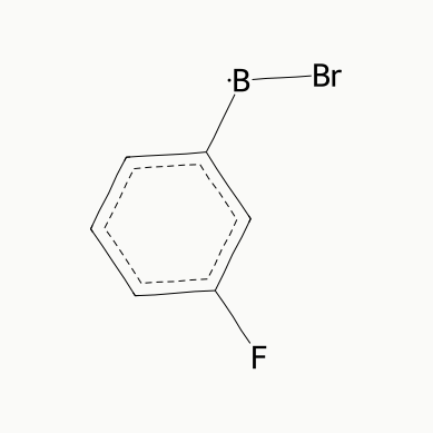 Fc1cccc([B]Br)c1